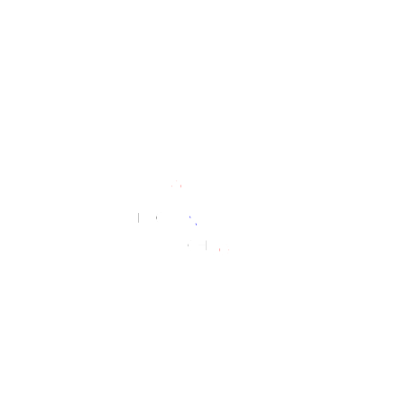 CC(=O)N(C)C([C]=O)=Cc1ccccc1